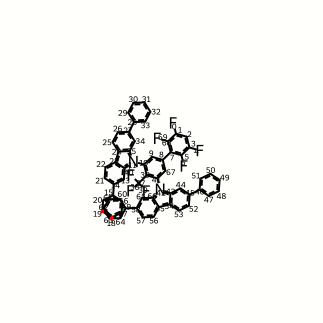 Fc1cc(F)c(F)c(-c2cc(-n3c4cc(-c5ccccc5)ccc4c4ccc(-c5ccccc5)cc43)c(C(F)(F)F)c(-n3c4cc(-c5ccccc5)ccc4c4ccc(-c5ccccc5)cc43)c2)c1F